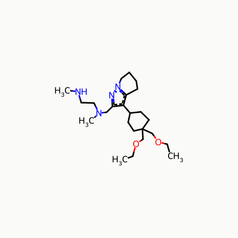 CCOCC1(COCC)CCC(c2c(CN(C)CCNC)nn3c2CCCC3)CC1